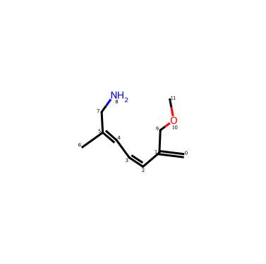 C=C(/C=C\C=C(/C)CN)COC